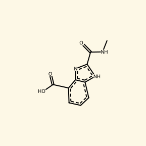 CNC(=O)c1nc2c(C(=O)O)cccc2[nH]1